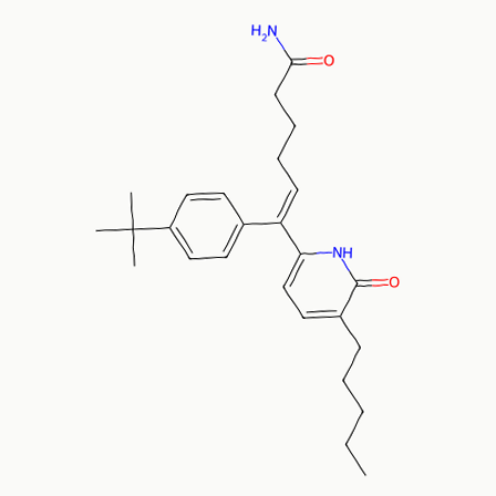 CCCCCc1ccc(/C(=C/CCCC(N)=O)c2ccc(C(C)(C)C)cc2)[nH]c1=O